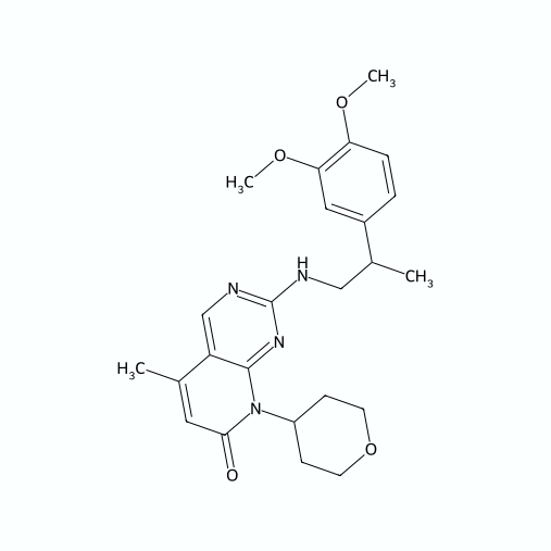 COc1ccc(C(C)CNc2ncc3c(C)cc(=O)n(C4CCOCC4)c3n2)cc1OC